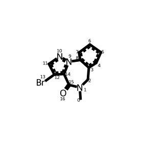 CN1Cc2ccccc2-n2ncc(Br)c2C1=O